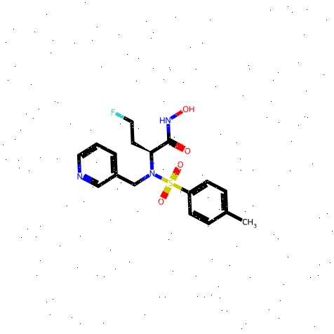 Cc1ccc(S(=O)(=O)N(Cc2cccnc2)[C@@H](CCF)C(=O)NO)cc1